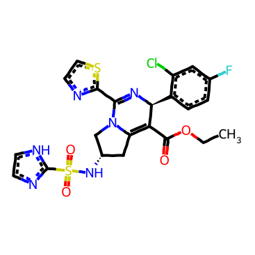 CCOC(=O)C1=C2C[C@H](NS(=O)(=O)c3ncc[nH]3)CN2C(c2nccs2)=N[C@H]1c1ccc(F)cc1Cl